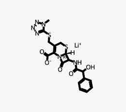 Cn1nnnc1SCC1=C(C(=O)[O-])N2C(=O)C(NC(=O)C(O)c3ccccc3)[C@H]2SC1.[Li+]